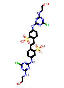 O=S(=O)(O)c1cc(Nc2nc(Cl)nc(NCCO)n2)ccc1/C=C/c1ccc(Nc2nc(Cl)nc(NCCO)n2)cc1S(=O)(=O)O